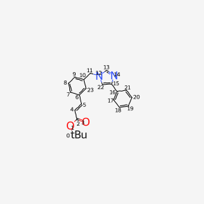 CC(C)(C)OC(=O)/C=C/c1cccc(Cn2cnc(-c3ccccc3)c2)c1